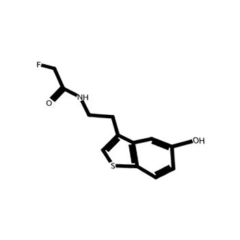 O=C(CF)NCCc1csc2ccc(O)cc12